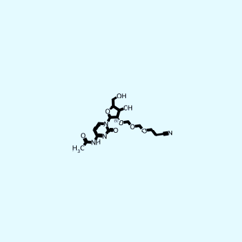 CC(=O)Nc1ccn(C2OC(CO)C(O)[C@@H]2OCOCOCCC#N)c(=O)n1